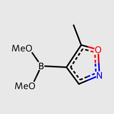 COB(OC)c1cnoc1C